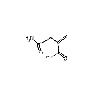 C=C(CC(N)=O)C(N)=O